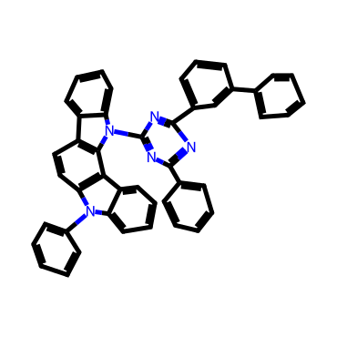 c1ccc(-c2cccc(-c3nc(-c4ccccc4)nc(-n4c5ccccc5c5ccc6c(c7ccccc7n6-c6ccccc6)c54)n3)c2)cc1